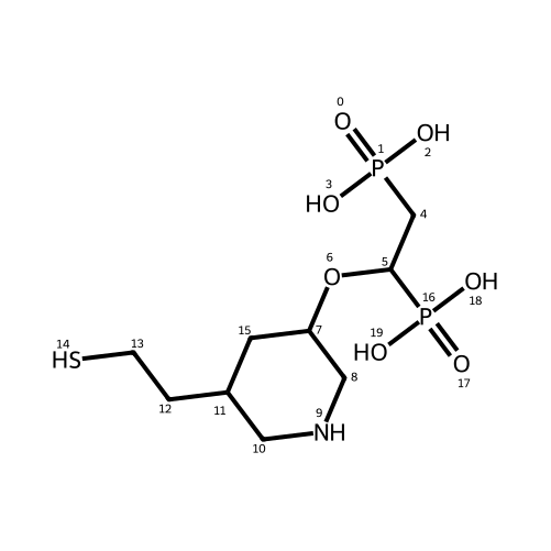 O=P(O)(O)CC(OC1CNCC(CCS)C1)P(=O)(O)O